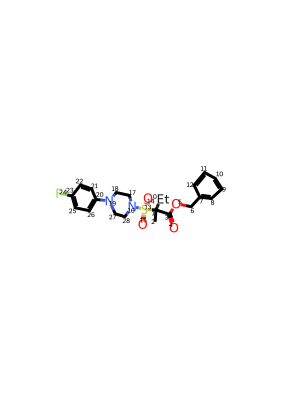 CCC(C)(C(=O)OCc1ccccc1)S(=O)(=O)N1CCN(c2ccc(F)cc2)CC1